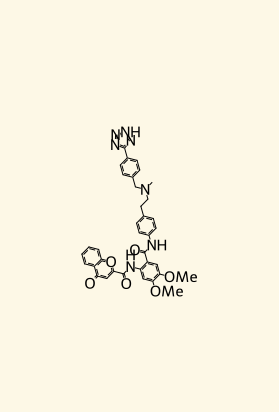 COc1cc(NC(=O)c2cc(=O)c3ccccc3o2)c(C(=O)Nc2ccc(CCN(C)Cc3ccc(-c4nn[nH]n4)cc3)cc2)cc1OC